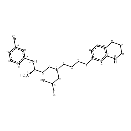 O=C(O)[C@H](CCN(CCCCc1ccc2c(n1)NCCC2)CC(F)F)Nc1cc(Br)ccn1